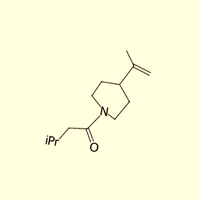 C=C(C)C1CCN(C(=O)CC(C)C)CC1